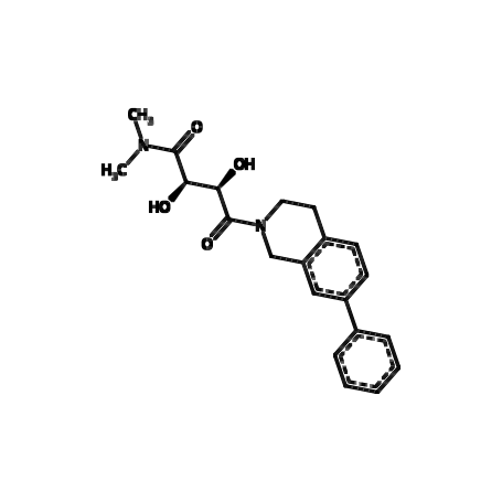 CN(C)C(=O)[C@H](O)[C@@H](O)C(=O)N1CCc2ccc(-c3ccccc3)cc2C1